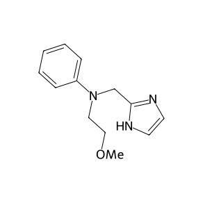 COCCN(Cc1ncc[nH]1)c1ccccc1